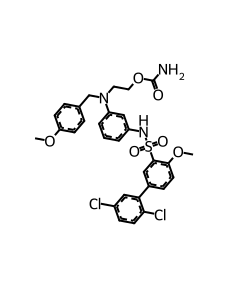 COc1ccc(CN(CCOC(N)=O)c2cccc(NS(=O)(=O)c3cc(-c4cc(Cl)ccc4Cl)ccc3OC)c2)cc1